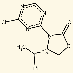 CC(C)C(C)[C@H]1COC(=O)N1c1ncnc(Cl)n1